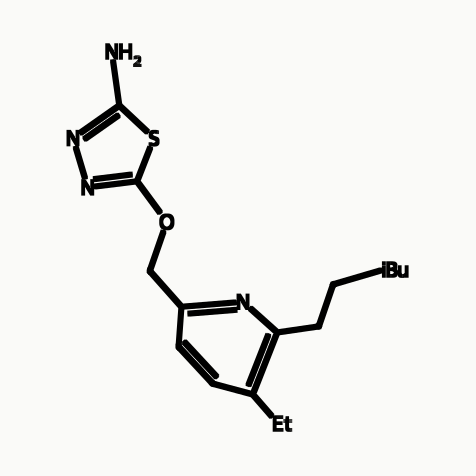 CCc1ccc(COc2nnc(N)s2)nc1CCC(C)CC